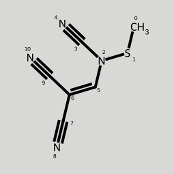 CSN(C#N)C=C(C#N)C#N